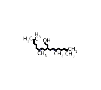 CC(C)=CCC/C(C)=C/CC(C/C=C(\C)CCC=C(C)C)CCO